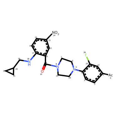 CC(=O)c1ccc(N2CCN(C(=O)c3cc([N+](=O)[O-])ccc3NCC3CC3)CC2)c(F)c1